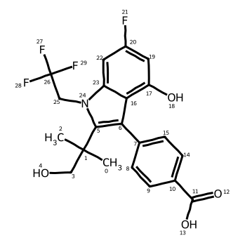 CC(C)(CO)c1c(-c2ccc(C(=O)O)cc2)c2c(O)cc(F)cc2n1CC(F)(F)F